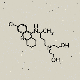 CC(CCCN(CCO)CCO)Nc1c2c(nc3cc(Cl)ccc13)CCCC2